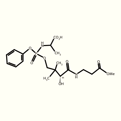 COC(=O)CCNC(=O)[C@H](O)C(C)(C)COP(=O)(NC(C)C(=O)O)Oc1ccccc1